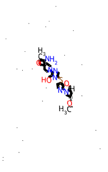 CCOC[C@@H]1C[C@H]2COc3c(Sc4cnc(N5CCC6(CC5)CO[C@@H](C)[C@H]6N)c(CO)n4)ccnc3N2C1